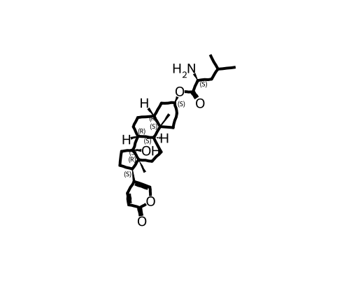 CC(C)C[C@H](N)C(=O)O[C@H]1CC[C@@]2(C)[C@H](CC[C@@H]3[C@@H]2CC[C@]2(C)[C@@H](c4ccc(=O)oc4)CC[C@]32O)C1